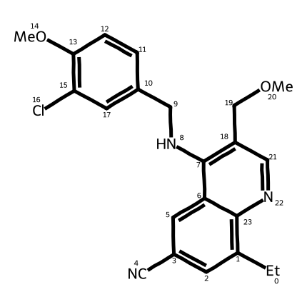 CCc1cc(C#N)cc2c(NCc3ccc(OC)c(Cl)c3)c(COC)cnc12